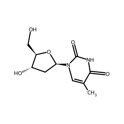 Cc1cn([C@H]2C[C@H](O)[C@@H]([CH]O)O2)c(=O)[nH]c1=O